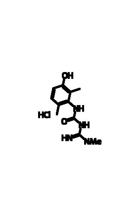 CNC(=N)NC(=O)Nc1c(C)ccc(O)c1C.Cl